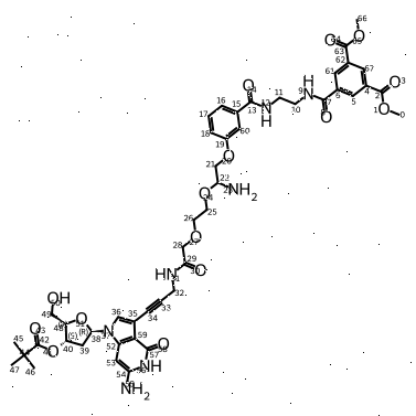 COC(=O)c1cc(C(=O)NCCNC(=O)c2cccc(OCC(N)OCCOCC(=O)NCC#Cc3cn([C@H]4C[C@H](OC(=O)C(C)(C)C)[C@@H](CO)O4)c4cc(N)[nH]c(=O)c34)c2)cc(C(=O)OC)c1